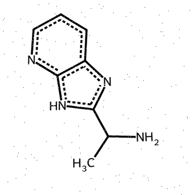 CC(N)c1nc2cccnc2[nH]1